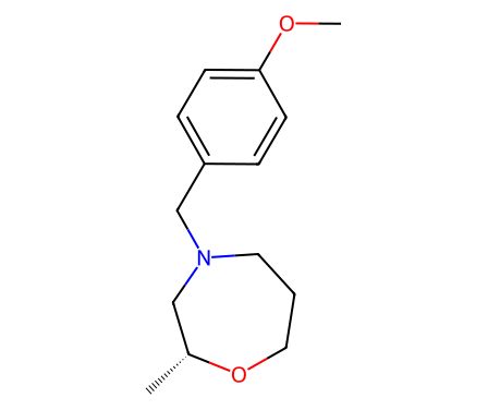 COc1ccc(CN2CCCO[C@H](C)C2)cc1